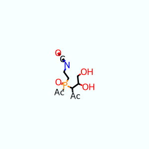 CC(=O)C(C(O)CO)P(=O)(CCN=C=O)C(C)=O